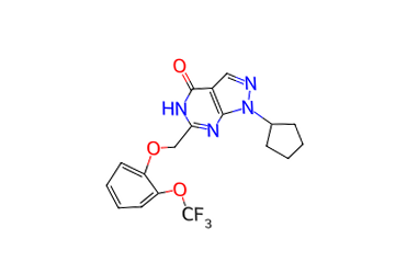 O=c1[nH]c(COc2ccccc2OC(F)(F)F)nc2c1cnn2C1CCCC1